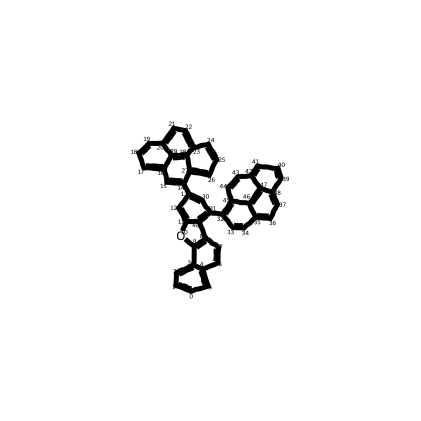 c1ccc2c(c1)ccc1c2oc2cc(-c3cc4cccc5ccc6cccc3c6c54)cc(-c3ccc4ccc5cccc6ccc3c4c56)c21